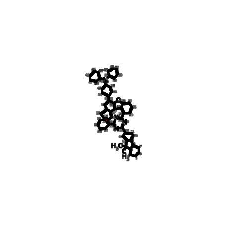 CC1(C)c2ccccc2-c2ccc(-c3nc(-c4ccccc4)nc(-c4cccc5oc6c(-c7ccc(N(c8ccccc8)c8ccccc8)cc7)cc7ccccc7c6c45)n3)cc21